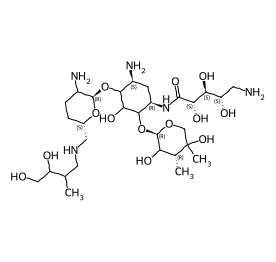 CC(CNC[C@@H]1CCC(N)[C@@H](OC2C(O)C(O[C@H]3OCC(C)(O)[C@H](C)C3O)[C@H](NC(=O)[C@@H](O)[C@@H](O)[C@@H](O)CN)C[C@@H]2N)O1)C(O)CO